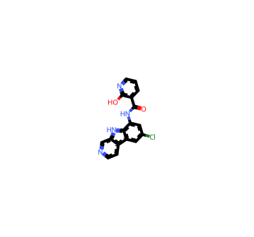 O=C(Nc1cc(Cl)cc2c1[nH]c1cnccc12)c1cccnc1O